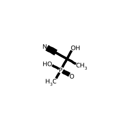 CC(O)(C#N)P(C)(=O)O